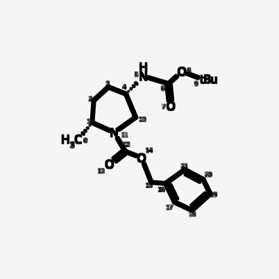 C[C@@H]1CC[C@H](NC(=O)OC(C)(C)C)CN1C(=O)OCc1ccccc1